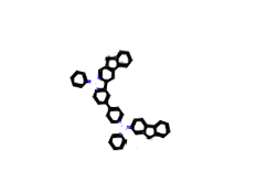 CC1(C)C2=C(CC3C(=C2)N(c2ccccc2)c2ccc(-c4ccc(N(c5ccccc5)c5ccc6c(c5)C(C)(C)c5ccccc5-6)cc4)cc23)c2ccccc21